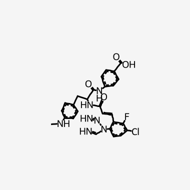 CNc1ccc(CC(NC(=O)/C=C/c2c(N(C=N)N=N)ccc(Cl)c2F)C(=O)Nc2ccc(C(=O)O)cc2)cc1